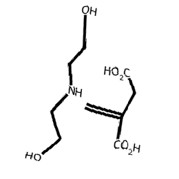 C=C(CC(=O)O)C(=O)O.OCCNCCO